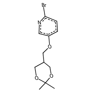 CC1(C)OCC(COc2ccc(Br)nc2)CO1